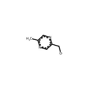 Cc1cnc(C[O])cn1